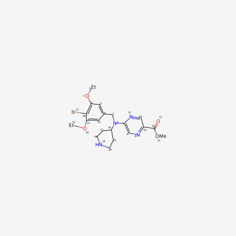 CCOc1cc(CN(c2cnc(C(=O)OC)cn2)C2CCNCC2)cc(OCC)c1Br